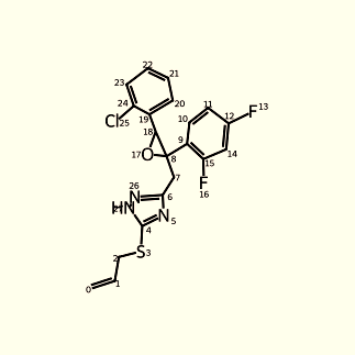 C=CCSc1nc(CC2(c3ccc(F)cc3F)OC2c2ccccc2Cl)n[nH]1